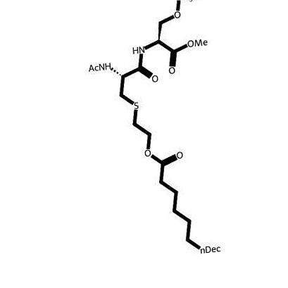 CCCCCCCCCCCCCCCC(=O)OCCSC[C@H](NC(C)=O)C(=O)N[C@@H](COS(=O)(=O)O)C(=O)OC